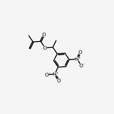 C=C(C)C(=O)OC(C)c1cc([N+](=O)[O-])cc([N+](=O)[O-])c1